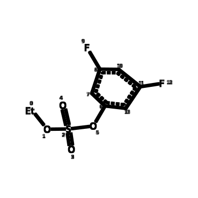 CCOS(=O)(=O)Oc1cc(F)cc(F)c1